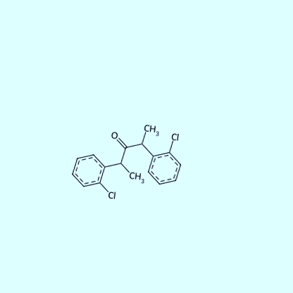 CC(C(=O)C(C)c1ccccc1Cl)c1ccccc1Cl